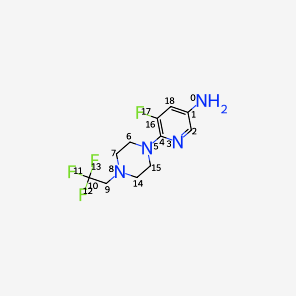 Nc1cnc(N2CCN(CC(F)(F)F)CC2)c(F)c1